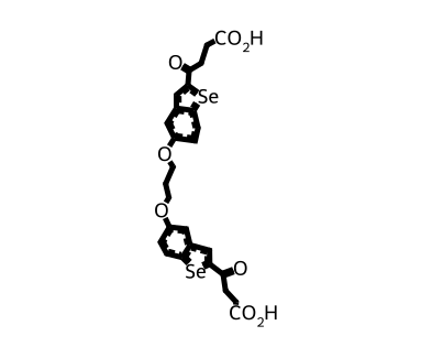 O=C(O)CCC(=O)c1cc2cc(OCCCOc3ccc4[se]c(C(=O)CCC(=O)O)cc4c3)ccc2[se]1